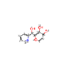 O=c1ccoc(C(O)c2ccccn2)c1O